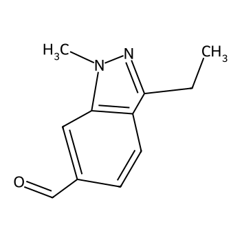 CCc1nn(C)c2cc(C=O)ccc12